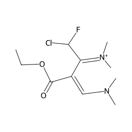 CCOC(=O)/C(=C/N(C)C)C(C(F)Cl)=[N+](C)C